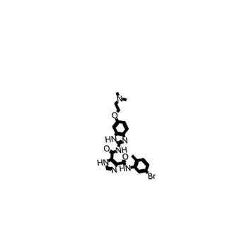 Cc1ccc(Br)cc1NC(=O)c1nc[nH]c1C(=O)Nc1nc2ccc(OCCN(C)C)cc2[nH]1